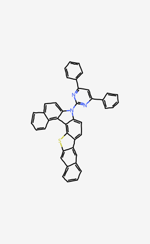 c1ccc(-c2cc(-c3ccccc3)nc(-n3c4ccc5ccccc5c4c4c5sc6cc7ccccc7cc6c5ccc43)n2)cc1